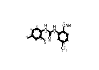 COc1ccc(C(F)(F)F)cc1NC(=O)Nc1ccc(C)cc1F